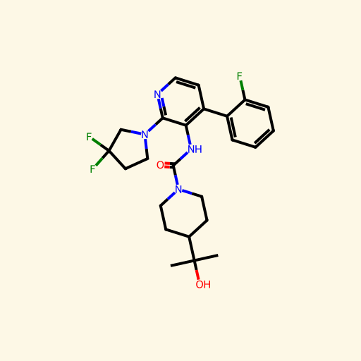 CC(C)(O)C1CCN(C(=O)Nc2c(-c3ccccc3F)ccnc2N2CCC(F)(F)C2)CC1